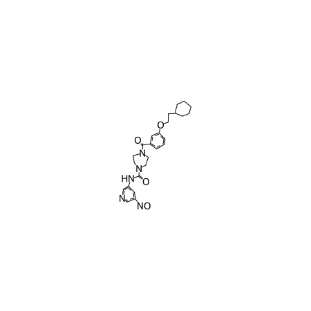 O=Nc1cncc(NC(=O)N2CCN(C(=O)c3cccc(OCCC4CCCCC4)c3)CC2)c1